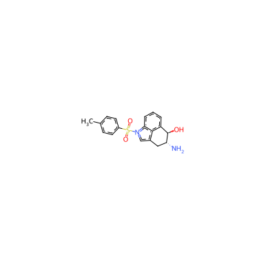 Cc1ccc(S(=O)(=O)n2cc3c4c(cccc42)[C@@H](O)[C@H](N)C3)cc1